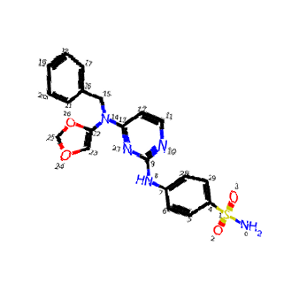 NS(=O)(=O)c1ccc(Nc2nccc(N(Cc3ccccc3)C3=COCO3)n2)cc1